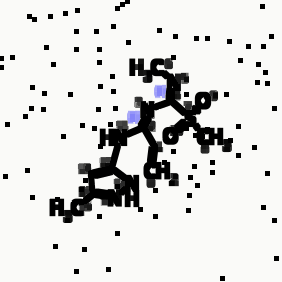 C=C/C(=N\C(=N/C)S(C)(=O)=O)Nc1cc(C)n[nH]1